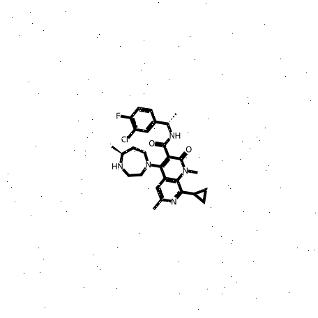 Cc1cc2c(N3CCN[C@@H](C)CC3)c(C(=O)N[C@@H](C)c3ccc(F)c(Cl)c3)c(=O)n(C)c2c(C2CC2)n1